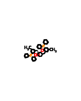 Cc1cc(C[C@H]2CCCC3Cc4cc(C)cc(P(c5ccccc5)c5ccccc5)c4OC32)c(O)c(P(c2ccccc2)c2ccccc2)c1